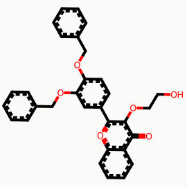 O=c1c(OCCO)c(-c2ccc(OCc3ccccc3)c(OCc3ccccc3)c2)oc2ccccc12